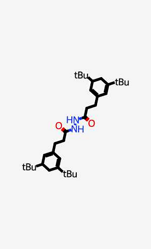 CC(C)(C)C1=CC(CCC(=O)NNC(=O)CCC2=CC(C(C)(C)C)CC(C(C)(C)C)=C2)=CC(C(C)(C)C)C1